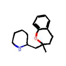 CC1(CC2CCCCN2)CCc2ccccc2O1